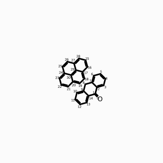 O=C1c2ccccc2Cc2ccccc21.c1cc2ccc3cccc4ccc(c1)c2c34